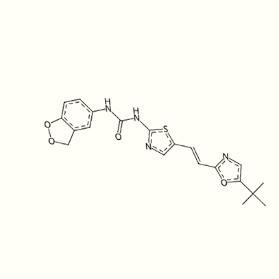 CC(C)(C)c1cnc(C=Cc2cnc(NC(=O)Nc3ccc4c(c3)COO4)s2)o1